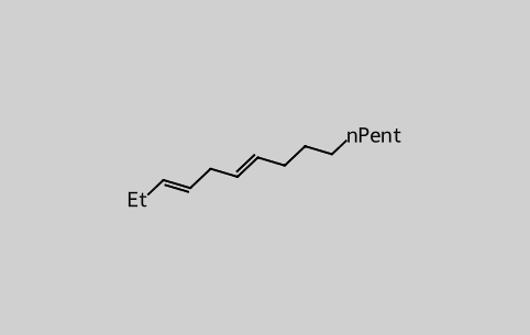 CC/C=C/C/C=C/CCCCCCCC